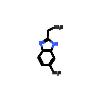 O=C(O)Cc1nc2ccc(S(=O)(=O)O)cc2[nH]1